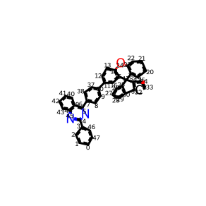 c1ccc(-c2nc(-c3ccc(-c4ccc5c(c4)C4(c6ccccc6O5)c5ccccc5-c5ccccc54)cc3)c3ccccc3n2)cc1